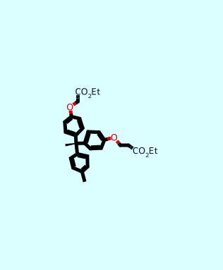 CCOC(=O)CCOc1ccc([C@](C)(c2ccc(C)cc2)c2ccc(OCC(=O)OCC)cc2)cc1